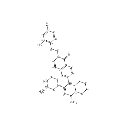 C[C@H](/N=C(\Nc1ccc2c(=O)n(CCc3ccc(Cl)cc3Cl)cnc2c1)N1CCN[C@@H](C)C1)C1CCCCC1